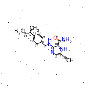 C#CC1=CN=C(NCC2C=CC(C(=C)C=C)=CC2)C(C(N)=O)N1